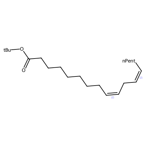 CCCCC/C=C\C/C=C\CCCCCCCC(=O)OC(C)(C)C